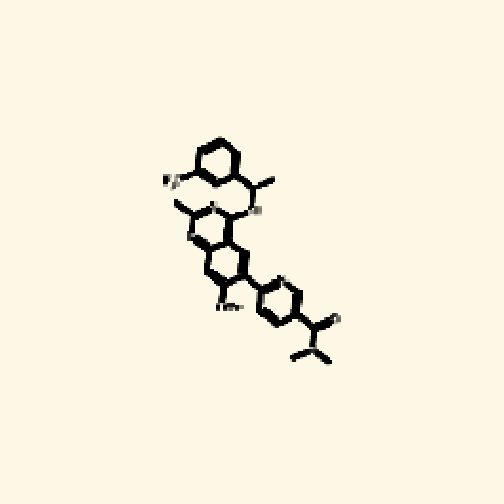 COc1cc2nc(C)nc(N[C@H](C)c3cccc(C(F)(F)F)c3)c2cc1-c1ccc(C(=O)N(C)C)cn1